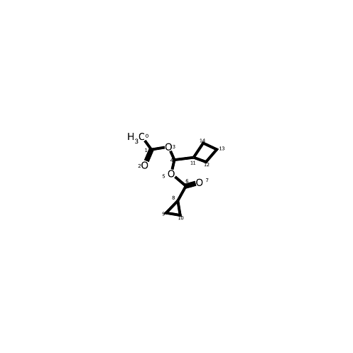 CC(=O)OC(OC(=O)C1CC1)C1CCC1